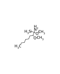 CCCCCCC(OC)C(N)([SiH3])OC